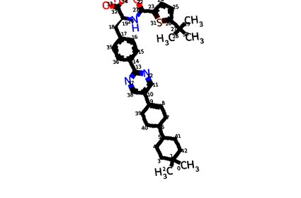 CC1(C)CCC(C2CC=C(c3cnc(-c4ccc(C[C@H](NC(=O)c5ccc(C(C)(C)C)s5)C(=O)O)cc4)nc3)CC2)CC1